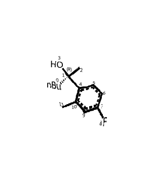 CCCC[C@@](C)(O)c1ccc(F)cc1C